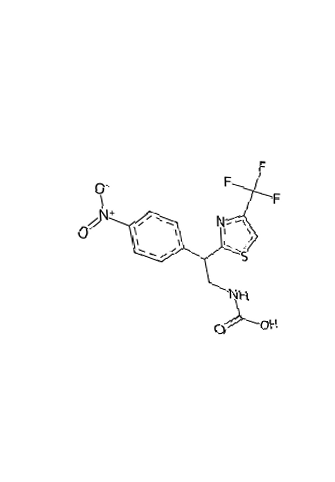 O=C(O)NCC(c1ccc([N+](=O)[O-])cc1)c1nc(C(F)(F)F)cs1